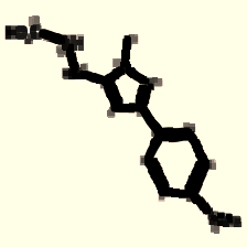 CSc1ccc(-c2cc(NNC(=O)O)n(C)n2)cc1